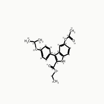 CCOC(=O)c1[nH]c2ccc(OC(C)=O)cc2c1-c1ccc(OC(C)C)cc1